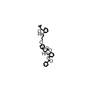 O=C(Oc1ccccc1NC(Cc1ccc(OCCCNc2ccccc2C(=O)C2CC2)cc1)C(=O)O)c1ccccc1